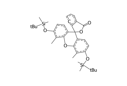 Cc1c(O[Si](C)(C)C(C)(C)C)ccc2c1Oc1c(ccc(O[Si](C)(C)C(C)(C)C)c1C)C21OC(=O)c2ccccc21